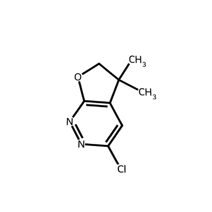 CC1(C)COc2nnc(Cl)cc21